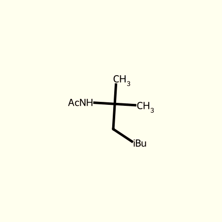 CCC(C)CC(C)(C)NC(C)=O